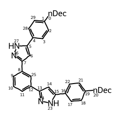 CCCCCCCCCCc1ccc(-c2cc(-c3cccc(-c4cc(-c5ccc(CCCCCCCCCC)cc5)[nH]n4)c3)n[nH]2)cc1